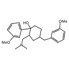 COc1cccc(CC2CCC(O)(c3cccc(OC)c3)C(CN(C)C)C2)c1